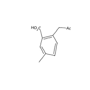 CC(=O)Cc1ccc(C)cc1C(=O)O